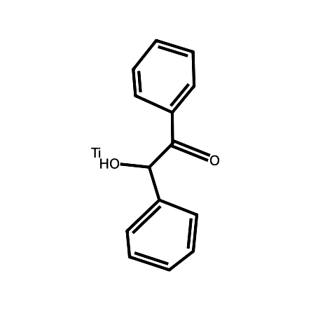 O=C(c1ccccc1)C(O)c1ccccc1.[Ti]